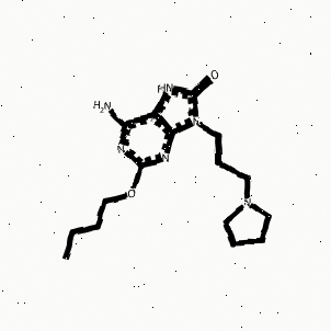 CCCCOc1nc(N)c2[nH]c(=O)n(CCCN3CCCC3)c2n1